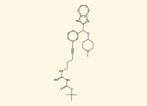 CN1CCC(OC(c2cccc(C#CCCCNC(=N)NC(=O)OC(C)(C)C)c2)c2nc3ccccc3[nH]2)CC1